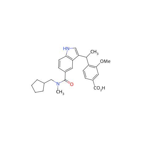 COc1cc(C(=O)O)ccc1C(C)c1c[nH]c2ccc(C(=O)N(C)CC3CCCC3)cc12